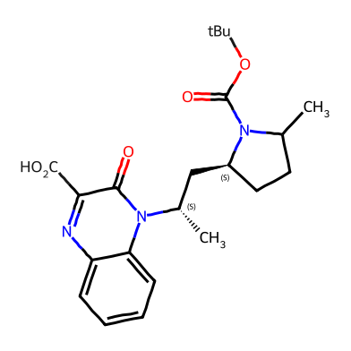 CC1CC[C@@H](C[C@H](C)n2c(=O)c(C(=O)O)nc3ccccc32)N1C(=O)OC(C)(C)C